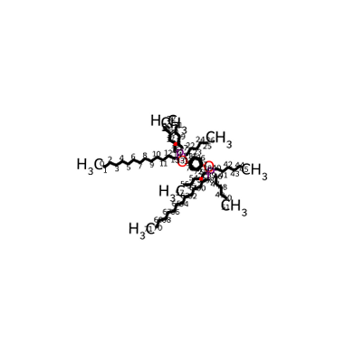 CCCCCCCCCCCCCCP(CCCCCC)(CCCCCC)(CCCCCC)Oc1ccc(OP(CCCCCC)(CCCCCC)(CCCCCC)CCCCCCCCCCCCCC)cc1